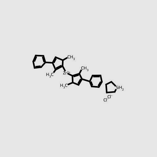 C1CC[SiH2]C1.CC1=[C]([Zr+2][C]2=C(C)C(c3ccccc3)=CC2C)C(C)C=C1c1ccccc1.[Cl-].[Cl-]